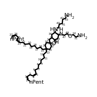 CCCCC/C=C\C/C=C\CCCCCCCCC1(CCCCCCCC/C=C\C/C=C\CCCCC)CCC2(CC1)CC1CC(NCCCCCN)C(NCCOCCN)C[C@@H]1O2